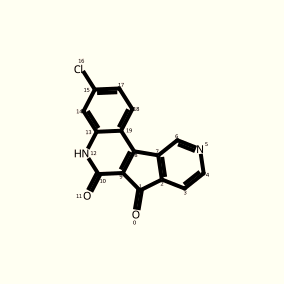 O=C1c2ccncc2-c2c1c(=O)[nH]c1cc(Cl)ccc21